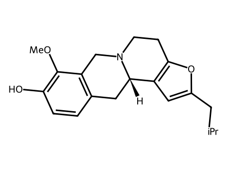 COc1c(O)ccc2c1CN1CCc3oc(CC(C)C)cc3[C@@H]1C2